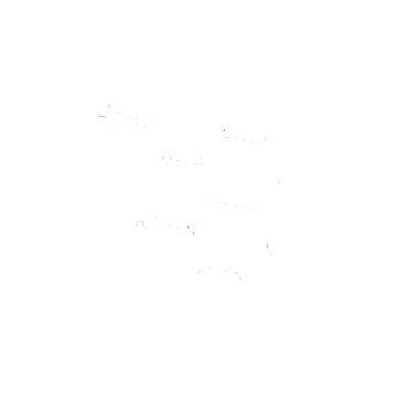 C=COC1CCCC2CCCN(C)C21